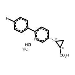 Cl.Cl.O=C(O)[C@@H]1C[C@H]1c1ccc(-c2ccc(F)cc2)nc1